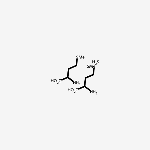 CSCCC(N)C(=O)O.CSCCC(N)C(=O)O.S